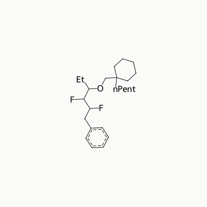 CCCCCC1(COC(CC)C(F)C(F)Cc2ccccc2)CCCCC1